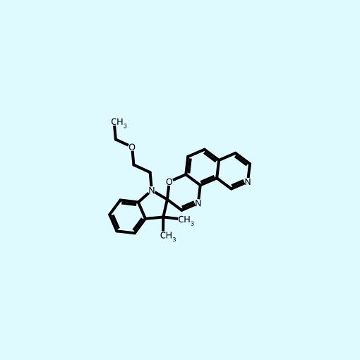 CCOCCN1c2ccccc2C(C)(C)C12C=Nc1c(ccc3ccncc13)O2